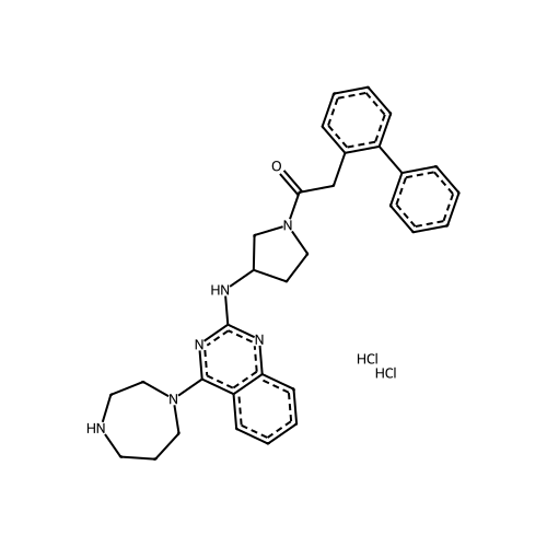 Cl.Cl.O=C(Cc1ccccc1-c1ccccc1)N1CCC(Nc2nc(N3CCCNCC3)c3ccccc3n2)C1